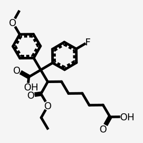 CCOC(=O)C(CCCCCC(=O)O)C(C(=O)O)(c1ccc(F)cc1)c1ccc(OC)cc1